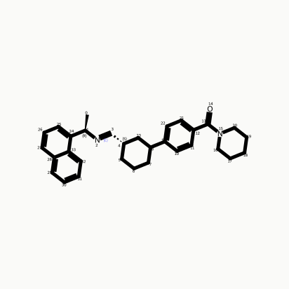 C[C@@H](/N=C/[C@H]1CCCC(c2ccc(C(=O)N3CCCCC3)cc2)C1)c1cccc2ccccc12